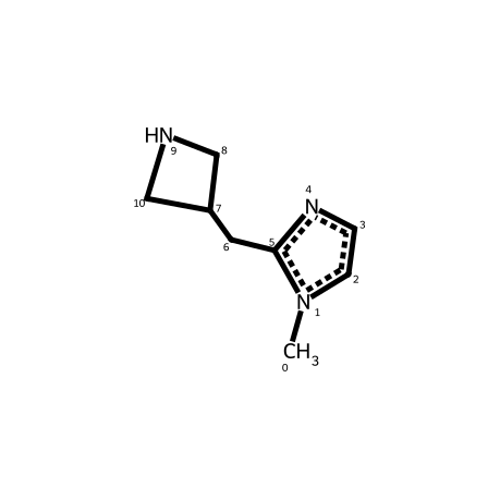 Cn1ccnc1CC1CNC1